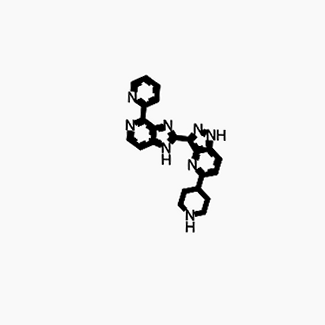 c1ccc(-c2nccc3[nH]c(-c4n[nH]c5ccc(C6CCNCC6)nc45)nc23)nc1